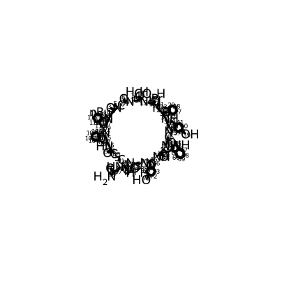 CCCC[C@H]1C(=O)N(C)CC(=O)N[C@@H](CC(=O)O)C(=O)N[C@@H](C(C)C)C(=O)N(C)[C@@H](Cc2ccccc2)C(=O)N[C@@H](Cc2ccc(O)cc2)C(=O)N(C)CC(=O)N[C@@H]([C@@H](C)c2c[nH]c3ccccc23)C(=O)N[C@@H](Cc2ccc(O)cc2)C(=O)N[C@@H](CC(C)C)C(=O)N[C@H](C(=O)NCC(N)=O)CSCC(=O)N[C@@H](Cc2ccccc2)C(=O)N(C)[C@@H](Cc2ccccc2)C(=O)N1C